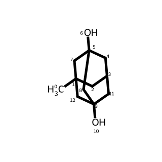 CC12CC3CC(O)(C1)CC(O)(C3)C2